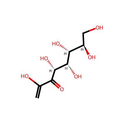 C=C(O)C(=O)[C@H](O)[C@@H](O)[C@H](O)[C@H](O)CO